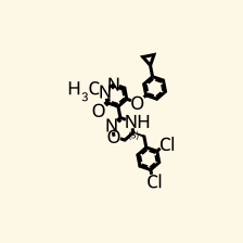 Cn1ncc(Oc2cccc(C3CC3)c2)c(C2=NOC[C@H](Cc3ccc(Cl)cc3Cl)N2)c1=O